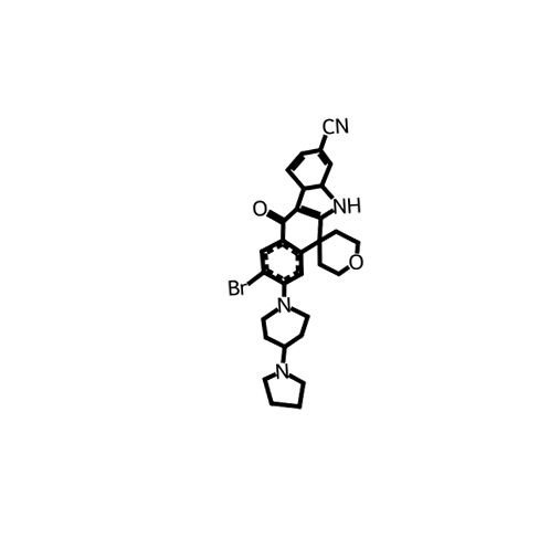 N#CC1=CC2NC3=C(C(=O)c4cc(Br)c(N5CCC(N6CCCC6)CC5)cc4C34CCOCC4)C2C=C1